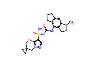 CC1CCc2c1cc1c(c2NC(=O)N=S(N)(=O)c2cnn3c2OCC2(CC2)C3)CCC1